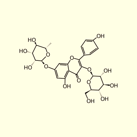 C[C@@H]1O[C@@H](Oc2cc(O)c3c(=O)c(O[C@@H]4O[C@H](CO)[C@@H](O)[C@H](O)[C@H]4O)c(-c4ccc(O)cc4)oc3c2)[C@H](O)[C@H](O)[C@H]1O